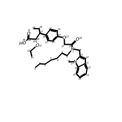 CCCCCCCN(Cc1cc2ccccc2n1C)C(=O)COc1ccc(C(CC)[C@H](OCC)C(=O)O)cc1